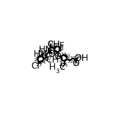 CCc1cc(Oc2cc(F)cc(C(C)NC(=O)c3[nH]c4ccc(Cl)cc4c3C)c2)ccc1CCC(=O)O